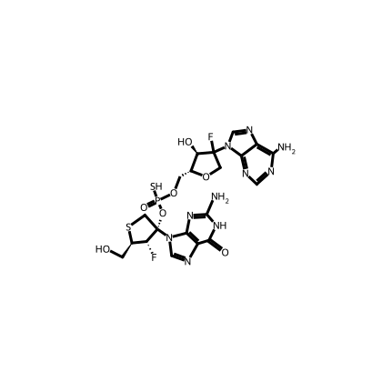 Nc1nc2c(ncn2[C@]2(OP(=O)(S)OC[C@H]3OCC(F)(n4cnc5c(N)ncnc54)[C@@H]3O)CS[C@H](CO)[C@H]2F)c(=O)[nH]1